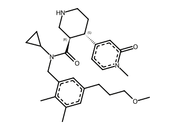 COCCCc1cc(C)c(C)c(CN(C(=O)[C@H]2CNCC[C@@H]2c2ccn(C)c(=O)c2)C2CC2)c1